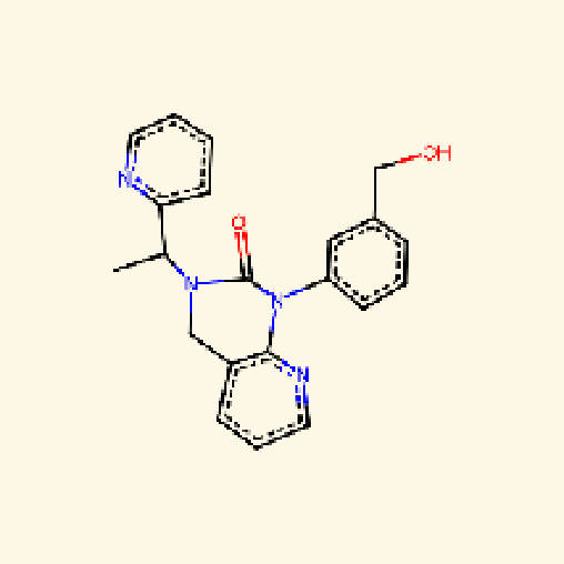 CC(c1ccccn1)N1Cc2cccnc2N(c2cccc(CO)c2)C1=O